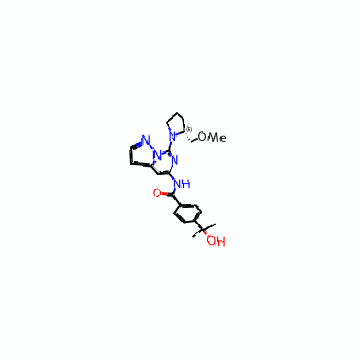 COC[C@H]1CCCN1c1nc(NC(=O)c2ccc(C(C)(C)O)cc2)cc2ccnn12